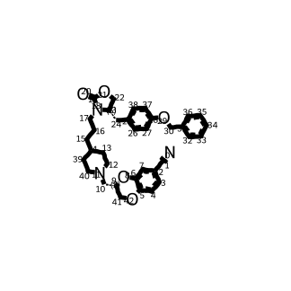 N#Cc1ccc2c(c1)O[C@@H](CN1CCC(CCCN3C(=O)OC[C@@H]3Cc3ccc(OCc4ccccc4)cc3)CC1)CO2